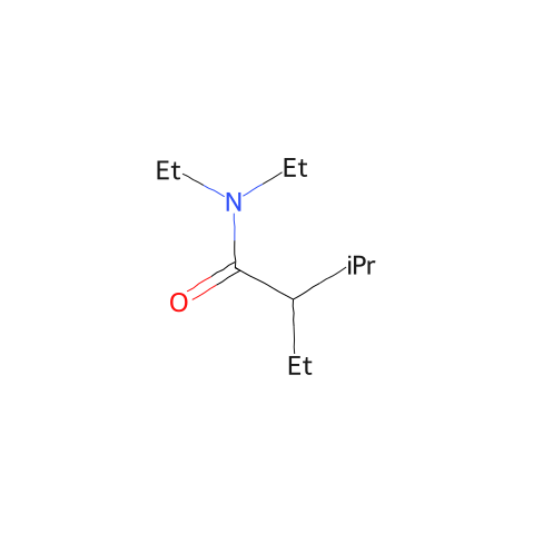 CCC(C(=O)N(CC)CC)C(C)C